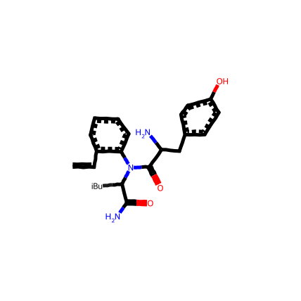 C=Cc1ccccc1N(C(=O)C(N)Cc1ccc(O)cc1)C(C(N)=O)C(C)CC